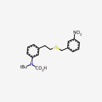 CC(C)(C)N(C(=O)O)c1cccc(CCSCc2cccc([N+](=O)[O-])c2)c1